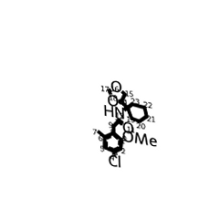 COc1cc(Cl)cc(C)c1CC(=O)NC1(C2COCO2)CCCCC1